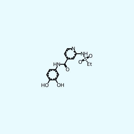 CCS(=O)(=O)Nc1cc(C(=O)Nc2ccc(O)c(O)c2)ccn1